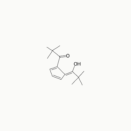 CC(C)(C)C(=O)C1=CC=CC1=C(O)C(C)(C)C